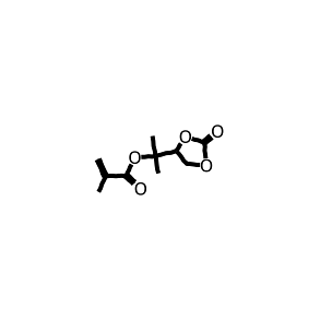 C=C(C)C(=O)OC(C)(C)C1COC(=O)O1